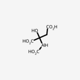 O=C(O)C[C](O)([AlH][C](=O)O)C(=O)O